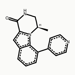 C[C@@H]1CNC(=O)c2cc3cccc(-c4ccncc4)c3n21